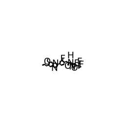 C=CCc1cc2ncc(-c3ccc(CC(=O)Nc4cc(C5(C(F)(F)F)CC5)on4)c(F)c3)nc2cc1OC